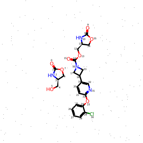 O=C1N[C@H](CO)CO1.O=C1N[C@H](COC(=O)N2CC(c3ccc(Oc4ccccc4Cl)nc3)C2)CO1